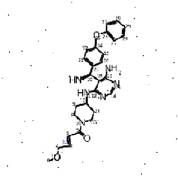 COC/C=C/C(=O)N1CCC(Nc2ncnc(N)c2C(=N)c2ccc(Oc3ccccc3)cc2)CC1